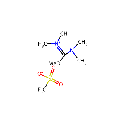 COC(N(C)C)=[N+](C)C.O=S(=O)([O-])C(F)(F)F